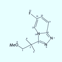 COCC(C)(C)c1nnc2ccc(F)cn12